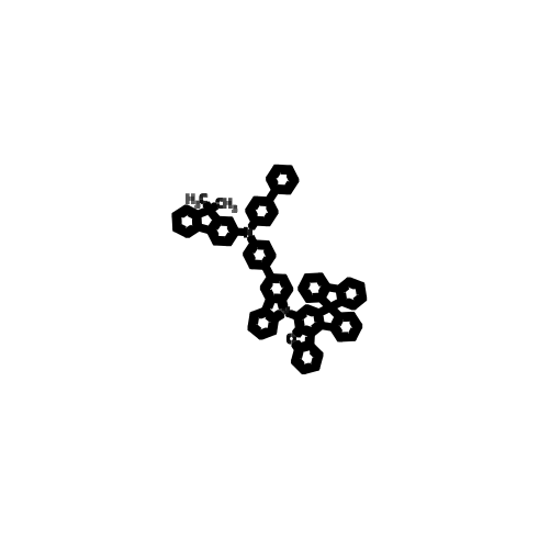 CC1(C)c2ccccc2-c2ccc(N(c3ccc(-c4ccccc4)cc3)c3ccc(-c4ccc5c(c4)c4ccccc4n5-c4cc5c(c6c4oc4ccccc46)-c4ccccc4C54c5ccccc5-c5ccccc54)cc3)cc21